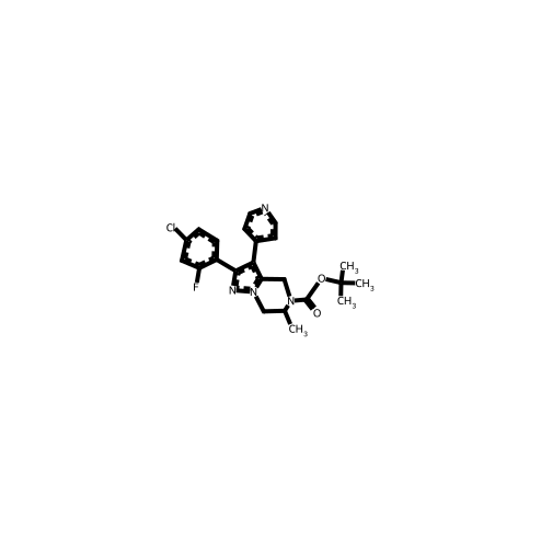 CC1Cn2nc(-c3ccc(Cl)cc3F)c(-c3ccncc3)c2CN1C(=O)OC(C)(C)C